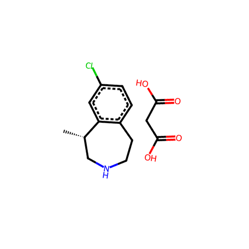 C[C@H]1CNCCc2ccc(Cl)cc21.O=C(O)CC(=O)O